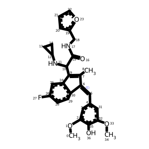 COc1cc(/C=C2/C(C)=C(C(NC3CC3)C(=O)NCc3ccco3)c3cc(F)ccc32)cc(OC)c1O